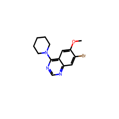 COc1cc2c(N3CCCCC3)ncnc2cc1Br